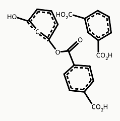 O=C(O)c1ccc(C(=O)Oc2cccc(O)c2)cc1.O=C(O)c1cccc(C(=O)O)c1